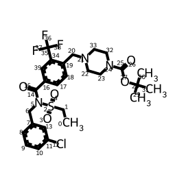 CCS(=O)(=O)N(Cc1cccc(Cl)c1)C(=O)c1ccc(CN2CCN(C(=O)OC(C)(C)C)CC2)c(C(F)(F)F)c1